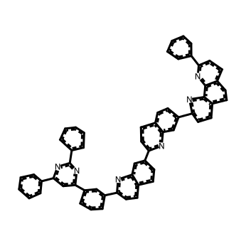 c1ccc(-c2cc(-c3cccc(-c4ccc5ccc(-c6ccc7ccc(-c8ccc9ccc%10ccc(-c%11ccccc%11)nc%10c9n8)cc7n6)cc5n4)c3)nc(-c3ccccc3)n2)cc1